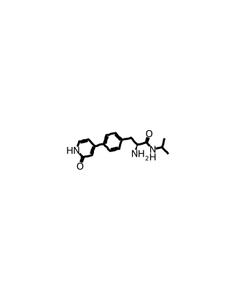 CC(C)NC(=O)[C@@H](N)Cc1ccc(-c2cc[nH]c(=O)c2)cc1